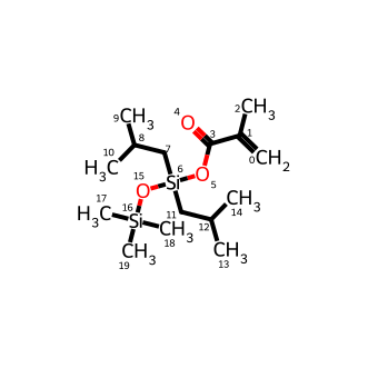 C=C(C)C(=O)O[Si](CC(C)C)(CC(C)C)O[Si](C)(C)C